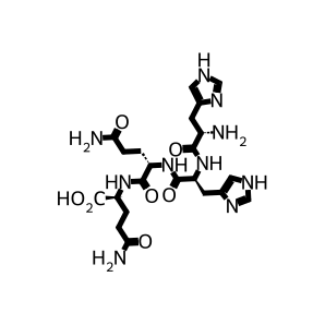 NC(=O)CC[C@H](NC(=O)[C@H](CCC(N)=O)NC(=O)[C@H](Cc1c[nH]cn1)NC(=O)[C@@H](N)Cc1c[nH]cn1)C(=O)O